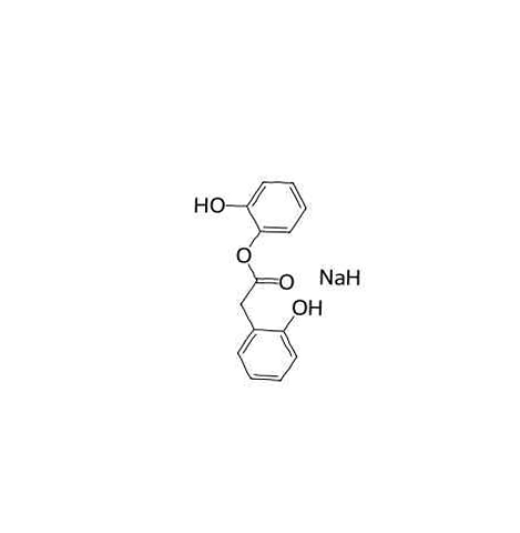 O=C(Cc1ccccc1O)Oc1ccccc1O.[NaH]